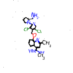 CNC(=N)c1cc(C)nc2c(OCc3c(Cl)cnc(N4CCC[C@H]4CN)c3Cl)cccc12